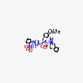 COc1ccc(C[C@@H](NC(=O)[C@@H]2Cc3ccccc3CN2)C(=O)N2CCN(c3ccccc3NS(C)(=O)=O)CC2)cc1